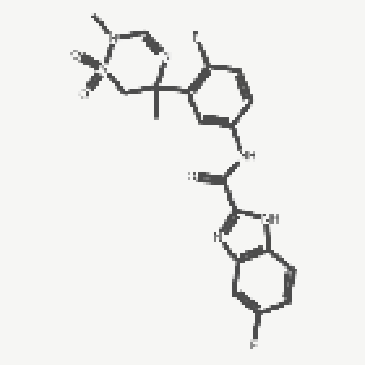 CN1C=NC(C)(c2cc(NC(=O)c3nc4cc(F)ccc4[nH]3)ccc2F)CS1(=O)=O